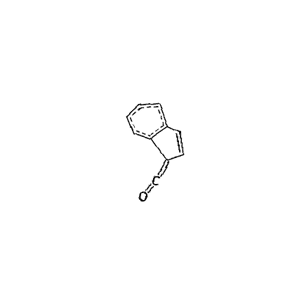 O=C=C1C=Cc2ccccc21